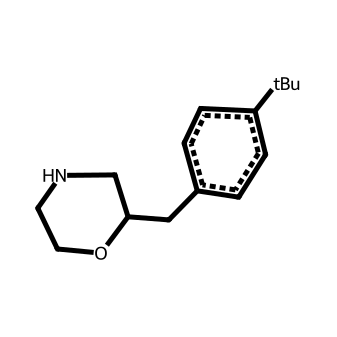 CC(C)(C)c1ccc(CC2CNCCO2)cc1